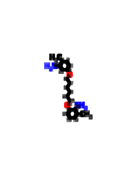 Cc1ccc(OCCCCCCOc2cccc(C)c2N)cc1N